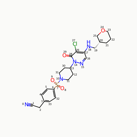 N#CCc1ccc(S(=O)(=O)N2CCC(n3ncc(NC[C@H]4CCCOC4)c(Cl)c3=O)CC2)cc1